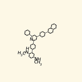 CNc1ccc(NC)c(-c2ccc(-c3cc(-c4ccc(-c5ccc6ccccc6c5)cc4)cc(-c4ccccc4)n3)cc2)c1